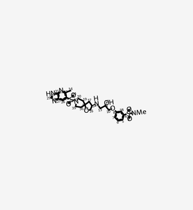 CNS(=O)(=O)c1cccc(OC[C@@H](O)CN[C@H]2COC3(CCN(S(=O)(=O)c4cc5nc[nH]c5nc4C)CC3)C2)c1